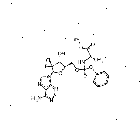 CC(C)OC(=O)C(C)NP(=O)(OC[C@H]1O[C@@H](n2cnc3c(N)ncnc32)[C@](F)(Cl)[C@@H]1O)Oc1ccccc1